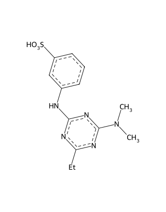 CCc1nc(Nc2cccc(S(=O)(=O)O)c2)nc(N(C)C)n1